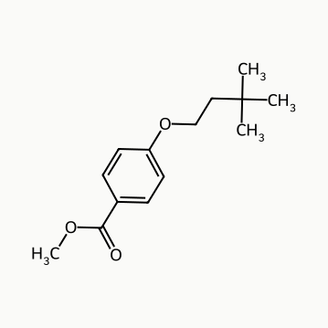 COC(=O)c1ccc(OCCC(C)(C)C)cc1